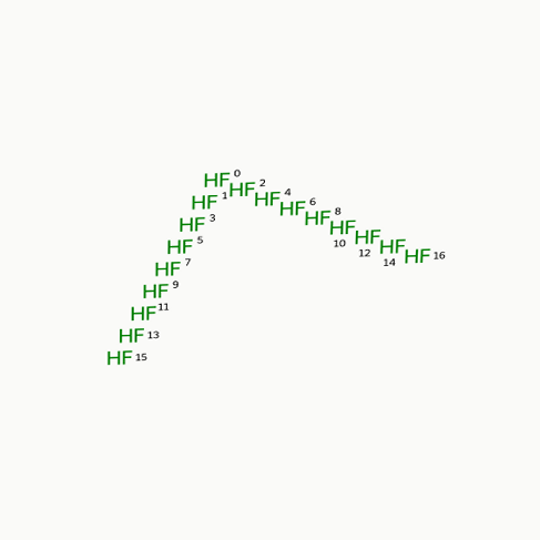 F.F.F.F.F.F.F.F.F.F.F.F.F.F.F.F.F